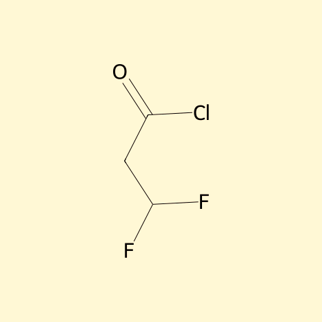 O=C(Cl)CC(F)F